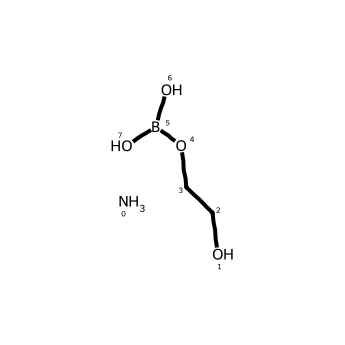 N.OCCOB(O)O